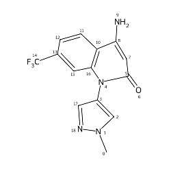 Cn1cc(-n2c(=O)cc(N)c3ccc(C(F)(F)F)cc32)cn1